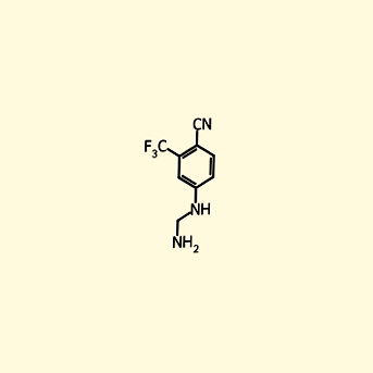 N#Cc1ccc(NCN)cc1C(F)(F)F